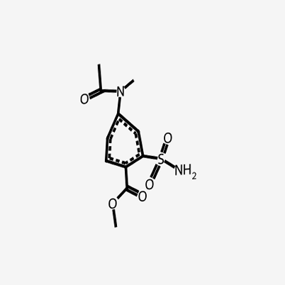 COC(=O)c1ccc(N(C)C(C)=O)cc1S(N)(=O)=O